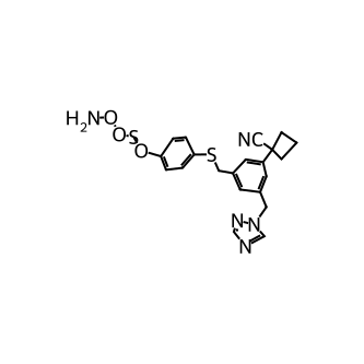 N#CC1(c2cc(CSc3ccc(OSOON)cc3)cc(Cn3cncn3)c2)CCC1